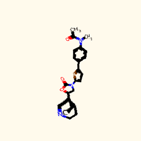 CC(=O)N(C)c1ccc(-c2ccc(N3CC(C4CN5CCC4CC5)OC3=O)s2)cc1